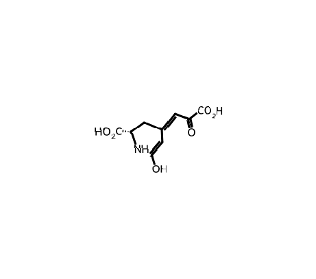 N[C@@H](CC(C=CO)=CC(=O)C(=O)O)C(=O)O